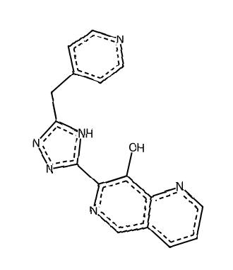 Oc1c(-c2nnc(Cc3ccncc3)[nH]2)ncc2cccnc12